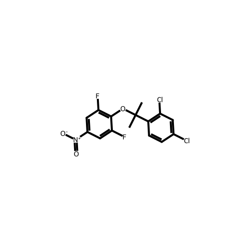 CC(C)(Oc1c(F)cc([N+](=O)[O-])cc1F)c1ccc(Cl)cc1Cl